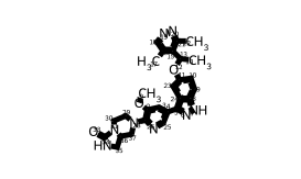 COc1cc(-c2n[nH]c3ccc(OC(C)c4c(C)cnnc4C)cc23)cnc1N1CCN2C(=O)NCC2C1